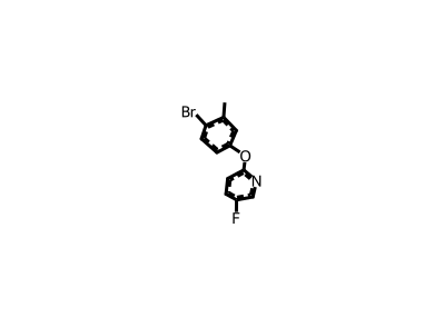 Cc1cc(Oc2ccc(F)cn2)ccc1Br